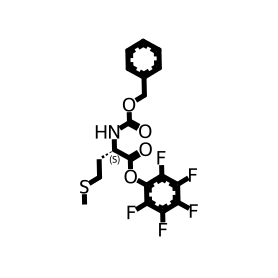 CSCC[C@H](NC(=O)OCc1ccccc1)C(=O)Oc1c(F)c(F)c(F)c(F)c1F